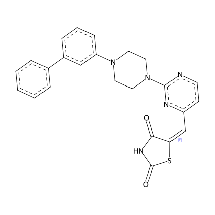 O=C1NC(=O)/C(=C\c2ccnc(N3CCN(c4cccc(-c5ccccc5)c4)CC3)n2)S1